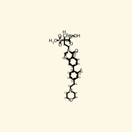 CC(CCn1cnc2cc(-c3ccc(CCN4CCOCC4)cc3F)ccc2c1=O)(C(=O)NO)S(C)(=O)=O